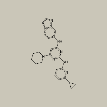 c1cc(Nc2nc(Nc3ccn4ccnc4c3)cc(N3CCCCC3)n2)nc(C2CC2)c1